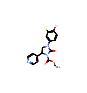 CC(C)(C)OC(=O)N1C(=O)N(c2ccc(Br)c(F)c2)CC1c1ccncc1